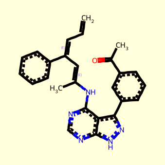 C=C/C=C(\C=C(/C)Nc1ncnc2[nH]nc(-c3cccc(C(C)=O)c3)c12)c1ccccc1